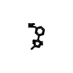 Cc1cnc(-c2cccc(C#N)c2)s1